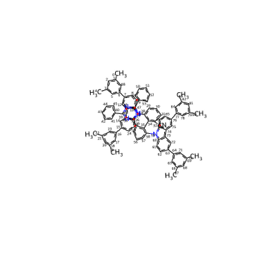 Cc1cc(C)cc(-c2ccc3c(c2)c2cc(-c4cc(C)cc(C)c4)ccc2n3-c2cccc(C#N)c2-c2c(-c3nc(-c4ccccc4)nc(-c4ccccc4)n3)cccc2-n2c3ccc(-c4cc(C)cc(C)c4)cc3c3cc(-c4cc(C)cc(C)c4)ccc32)c1